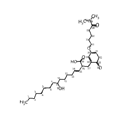 CCCCCCCCC(O)CCCCC=CC(CC1=CC(OCCCCC(=O)N(C)C)=CCC1=O)C(=O)O